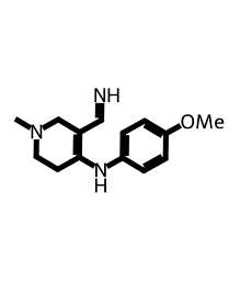 COc1ccc(NC2=C(C=N)CN(C)CC2)cc1